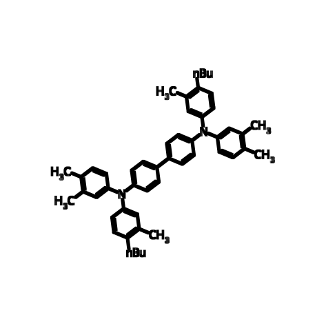 CCCCc1ccc(N(c2ccc(-c3ccc(N(c4ccc(C)c(C)c4)c4ccc(CCCC)c(C)c4)cc3)cc2)c2ccc(C)c(C)c2)cc1C